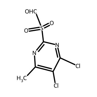 Cc1nc(S(=O)(=O)C=O)nc(Cl)c1Cl